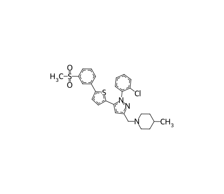 CC1CCN(Cc2cc(-c3ccc(-c4cccc(S(C)(=O)=O)c4)s3)n(-c3ccccc3Cl)n2)CC1